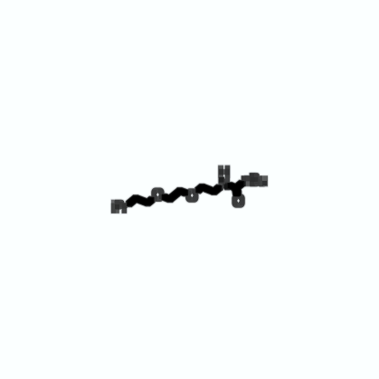 CCCCC(=O)NCCOCCOCCC(C)C